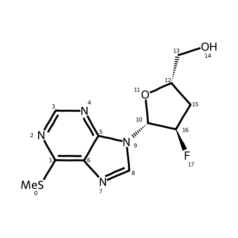 CSc1ncnc2c1ncn2[C@@H]1O[C@H](CO)C[C@H]1F